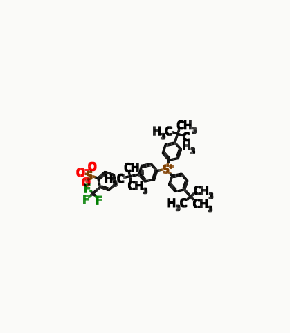 CC(C)(C)c1ccc([S+](c2ccc(C(C)(C)C)cc2)c2ccc(C(C)(C)C)cc2)cc1.O=S(=O)([O-])c1ccccc1C(F)(F)F